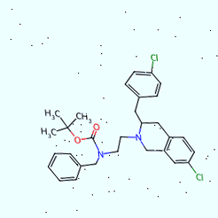 CC(C)(C)OC(=O)N(CCN1Cc2cc(Cl)ccc2CC1Cc1ccc(Cl)cc1)Cc1ccccc1